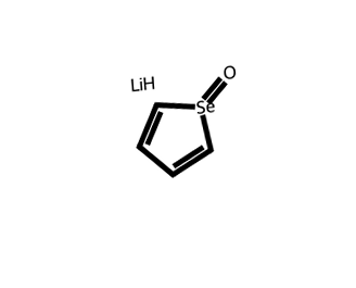 O=[Se]1C=CC=C1.[LiH]